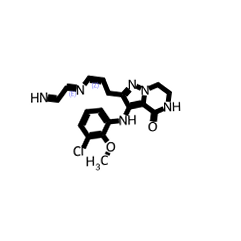 COc1c(Cl)cccc1Nc1c(C/C=C\N=C\C=N)nn2c1C(=O)NCC2